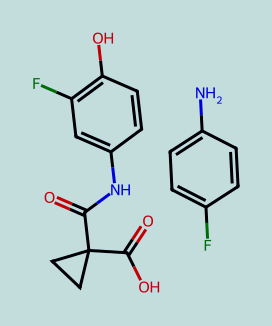 Nc1ccc(F)cc1.O=C(O)C1(C(=O)Nc2ccc(O)c(F)c2)CC1